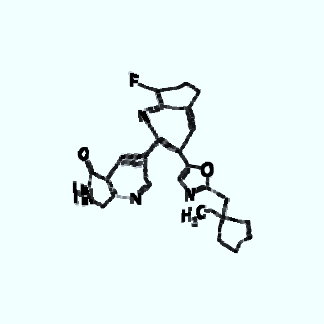 CC1(Cc2ncc(-c3cc4c(nc3-c3cnc5c(c3)C(=O)NC5)C(F)CC4)o2)CCCC1